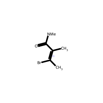 CNC(=O)/C(C)=C(/C)Br